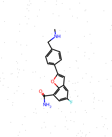 CNCc1ccc(-c2cc3cc(F)cc(C(N)=O)c3o2)cc1